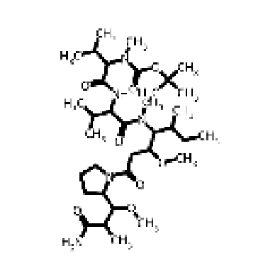 CCC(C)C(C(CC(=O)N1CCCC1C(OC)C(C)C(N)=O)OC)N(C)C(=O)C(NC(=O)C(C(C)C)N(C)C(=O)OC(C)(C)C)C(C)C